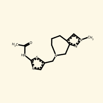 CC(=O)Nc1ncc(CN2CCCc3cn(C)nc3C2)s1